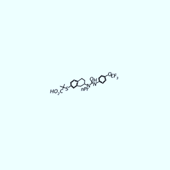 CCCN(C(=O)Nc1ccc(OC(F)(F)F)cc1)C1CCc2ccc(SC(C)(C)C(=O)O)cc2C1